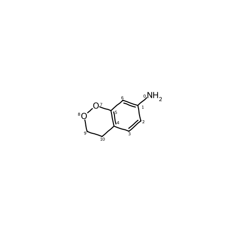 Nc1ccc2c(c1)OOCC2